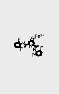 C/C(=N\c1c(F)cccc1F)c1cccc(/C(C)=N/c2c(F)cccc2F)n1.[Cl-].[Cl-].[Fe+2]